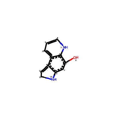 Oc1cc2c(c3c1NC=CC=3)=CCN2